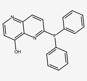 Oc1ccnc2ccc(P(c3ccccc3)c3ccccc3)nc12